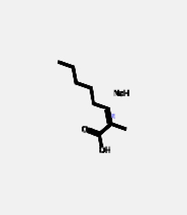 CCCCC/C=C(/C)C(=O)O.[NaH]